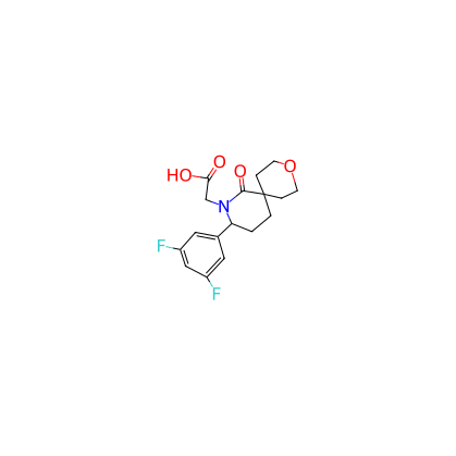 O=C(O)CN1C(=O)C2(CCOCC2)CCC1c1cc(F)cc(F)c1